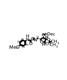 CCCCCCCCCCO[C@@H]1[C@H]2OC(C)(C)O[C@H]2O[C@@H]1C=NOC(=O)Nc1ccc(OC)cc1